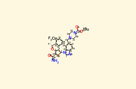 C[C@@H](Oc1cc(-n2cnc3ccc(CN4CCN(C(=O)OC(C)(C)C)CC4)cc32)sc1C(N)=O)c1ccccc1C(F)(F)F